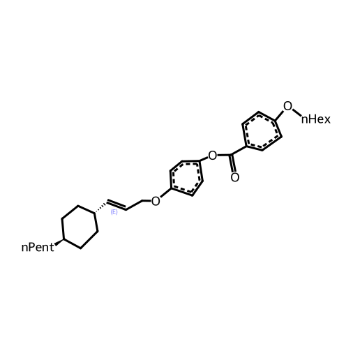 CCCCCCOc1ccc(C(=O)Oc2ccc(OC/C=C/[C@H]3CC[C@H](CCCCC)CC3)cc2)cc1